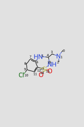 CN(C)CC1NC2=CCC(Cl)C=C2S(=O)(=O)N1